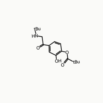 CC(C)(C)NCC(=O)c1ccc(OC(=O)C(C)(C)C)c(O)c1